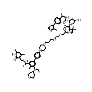 CCN(c1cc(-c2ccc(N3CCN(CCCOCCOCC(=O)NC(C(=O)N4C[C@H](O)C[C@H]4C(=O)NC(C)c4ccc(-c5scnc5C)cc4)C(C)(C)C)CC3)cc2)cc(C(=O)NCc2c(C)cc(C)[nH]c2=O)c1C)C1CCOCC1